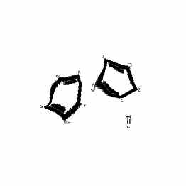 C1=CCC=C1.C1=CCC=C1.[Tl]